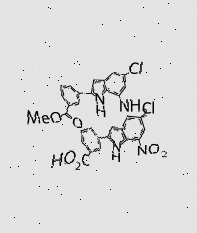 COC(=O)c1cccc(-c2cc3cc(Cl)cc(N)c3[nH]2)c1.O=C(O)c1cccc(-c2cc3cc(Cl)cc([N+](=O)[O-])c3[nH]2)c1